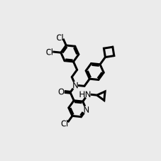 O=C(c1cc(Cl)cnc1NC1CC1)N(CCc1ccc(Cl)c(Cl)c1)Cc1ccc(C2CCC2)cc1